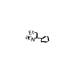 CCC=C(N=C=O)c1ccccc1